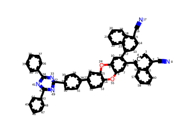 N#Cc1ccc(-c2cc3c(cc2-c2ccc(C#N)c4ccccc24)Oc2cc(-c4ccc(-c5nc(-c6ccccc6)nc(-c6ccccc6)n5)cc4)ccc2O3)c2ccccc12